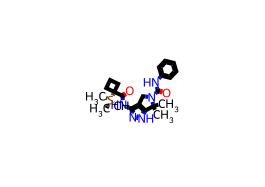 CC1(C)c2[nH]nc(NC(=O)C3(S(C)(C)C)CCC3)c2CN1C(=O)Nc1ccccc1